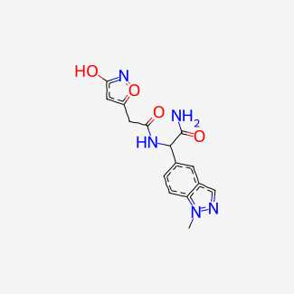 Cn1ncc2cc(C(NC(=O)Cc3cc(O)no3)C(N)=O)ccc21